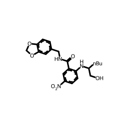 CCCCC(CO)Nc1ccc([N+](=O)[O-])cc1C(=O)NCc1ccc2c(c1)OCO2